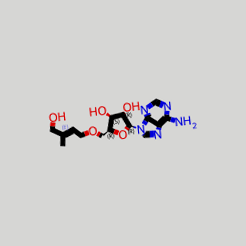 C/C(=C\COC[C@H]1O[C@@H](n2cnc3c(N)ncnc32)[C@H](O)[C@@H]1O)CO